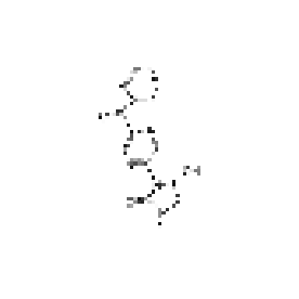 CN1CC(O)N(c2ccc(C(=O)c3ccccc3)cn2)C1=O